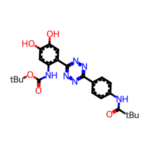 CC(C)(C)OC(=O)Nc1cc(O)c(O)cc1-c1nnc(-c2ccc(NC(=O)C(C)(C)C)cc2)nn1